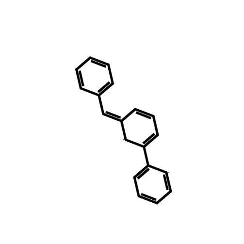 [c]1ccccc1C1=CC=CC(=Cc2ccccc2)[CH]1